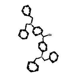 CCC(C)C(c1ccc(N(Cc2ccccc2)Cc2ccccc2)cc1)c1ccc(N(Cc2ccccc2)Cc2ccccc2)cc1